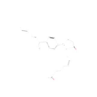 CCCCCC(O)c1ccc(N2CCC(=O)[C@@H]2C/C=C\CCCC(=O)O)cc1